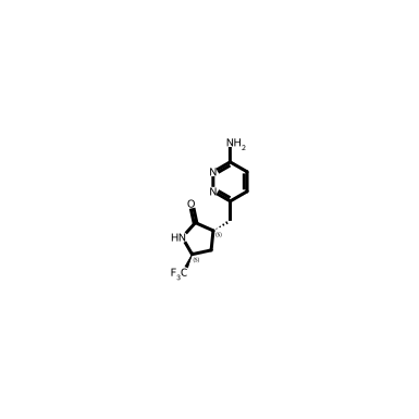 Nc1ccc(C[C@@H]2C[C@@H](C(F)(F)F)NC2=O)nn1